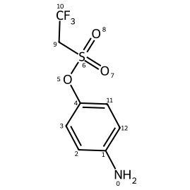 Nc1ccc(OS(=O)(=O)CC(F)(F)F)cc1